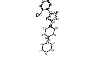 Brc1ccccc1-c1nsc(N2CCC(N3CCCCC3)CC2)n1